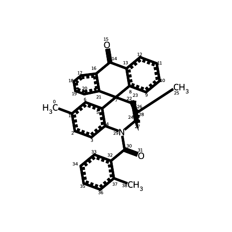 Cc1ccc2c(c1)C1(c3ccccc3C(=O)c3ccccc31)c1cc(C)ccc1N2C(=O)c1ccccc1C